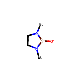 CCN1CCN(CC)[S+]1[O-]